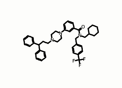 O=C(c1cccc(N2CCN(CCC(c3ccccc3)c3ccccc3)CC2)c1)N(Cc1ccc(C(F)(F)F)cc1)CC1CCCCC1